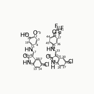 COc1ccc(NC=C2C(=O)Nc3ccc(Cl)cc32)cc1O.O=C1Nc2ccc(Cl)cc2C1=CNc1ccc(OC(F)(F)F)cc1